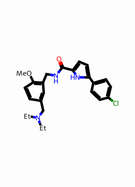 CCN(CC)Cc1ccc(OC)c(CNC(=O)c2ccc(-c3ccc(Cl)cc3)[nH]2)c1